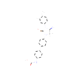 CC(C)(C)OC(=O)Nc1ccc(-c2ccc(N3C(=S=O)N(c4ccc(C#N)c(C(F)(F)F)c4)C(=N)C3(C)C)cc2)cc1